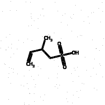 C=CC(C)CS(=O)(=O)O